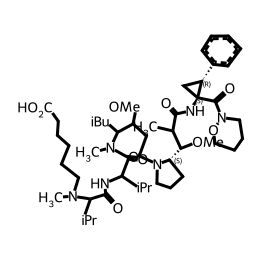 CCC(C)C(C(CC(=O)N1CCC[C@H]1C(OC)C(C)C(=O)N[C@@]1(C(=O)N2CCCCO2)C[C@@H]1c1ccccc1)OC)N(C)C(=O)C(NC(=O)C(C(C)C)N(C)CCCCCC(=O)O)C(C)C